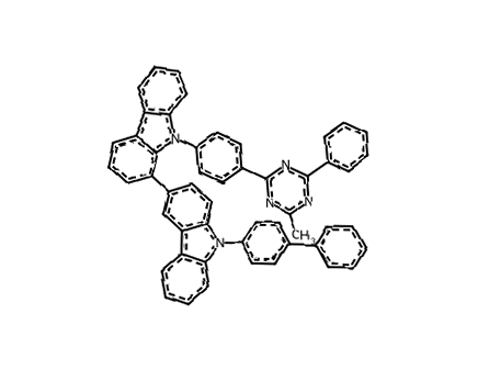 Cc1nc(-c2ccccc2)nc(-c2ccc(-n3c4ccccc4c4cccc(-c5ccc6c(c5)c5ccccc5n6-c5ccc(-c6ccccc6)cc5)c43)cc2)n1